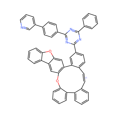 C1=C\c2ccc(-c3nc(-c4ccccc4)nc(-c4ccc(-c5cccnc5)cc4)n3)cc2-c2cc3oc4ccccc4c3cc2Oc2ccccc2-c2ccccc2/1